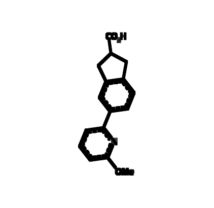 COc1cccc(-c2ccc3c(c2)CC(C(=O)O)C3)n1